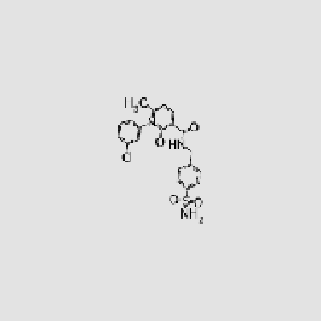 Cc1ccc(C(=O)NCc2ccc(S(N)(=O)=O)cc2)c(=O)n1-c1cccc(Cl)c1